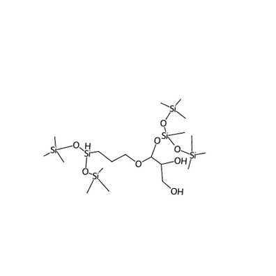 C[Si](C)(C)O[SiH](CCCOC(O[Si](C)(O[Si](C)(C)C)O[Si](C)(C)C)C(O)CO)O[Si](C)(C)C